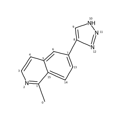 Cc1nccc2cc(-c3c[nH]nn3)ccc12